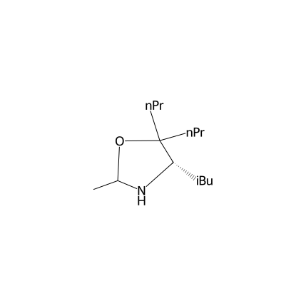 CCCC1(CCC)OC(C)N[C@H]1C(C)CC